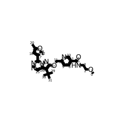 COCCNC(=O)c1ccc(COc2nn3c(-c4cc(C)on4)nncc3c2C(C)(C)C)nc1